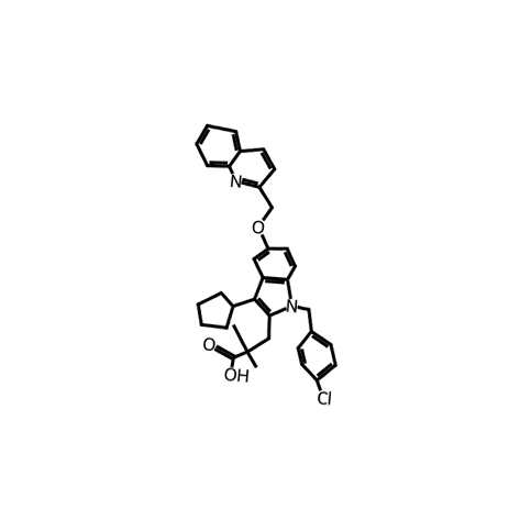 CC(C)(Cc1c(C2CCCC2)c2cc(OCc3ccc4ccccc4n3)ccc2n1Cc1ccc(Cl)cc1)C(=O)O